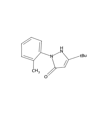 Cc1ccccc1-n1[nH]c(C(C)(C)C)cc1=O